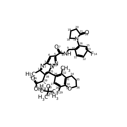 Cc1nc2cc(C(=O)NCc3ccc(F)cc3N3CCCC3=O)nn2c(-c2cc(F)c3c(c2C)CCCO3)c1[C@H](OC(C)(C)C)C(=O)O